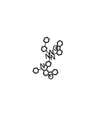 c1ccc(-c2cccc(-c3nc(-c4ccc5c(c4)nc(-c4ccccc4)c4ccc6oc7ccccc7c6c45)nc(-c4cccc5c4oc4ccccc45)n3)c2)cc1